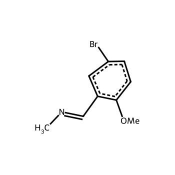 CN=Cc1cc(Br)ccc1OC